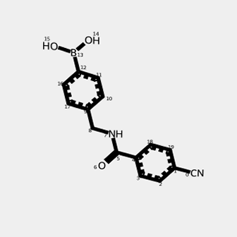 N#Cc1ccc(C(=O)NCc2ccc(B(O)O)cc2)cc1